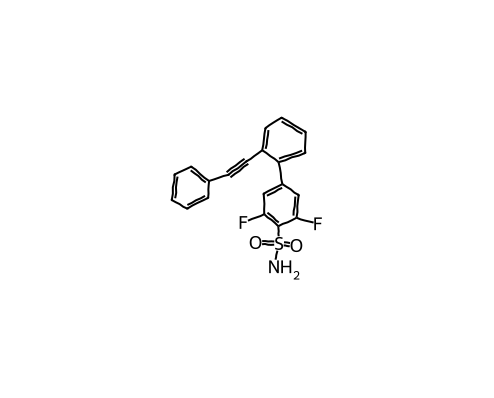 NS(=O)(=O)c1c(F)cc(-c2ccccc2C#Cc2ccccc2)cc1F